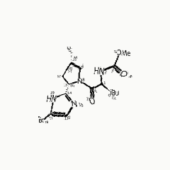 CC[C@H](C)C(NC(=O)OC)C(=O)N1C[C@@H](C)C[C@H]1c1ncc(Br)[nH]1